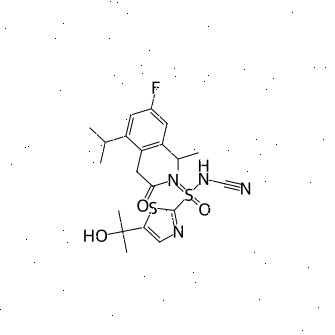 CC(C)c1cc(F)cc(C(C)C)c1CC(=O)N=S(=O)(NC#N)c1ncc(C(C)(C)O)s1